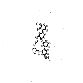 CC1CCCC(n2ccc(-c3c(F)ccc(Cl)c3F)cc2=O)c2cc(ccn2)-c2ccc(N)cc2NC1=O